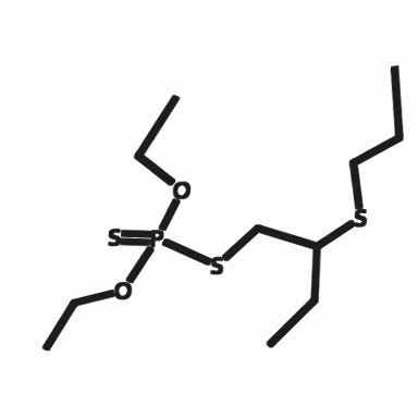 CCCSC(CC)CSP(=S)(OCC)OCC